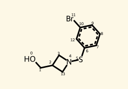 OCC1CN(Sc2cccc(Br)c2)C1